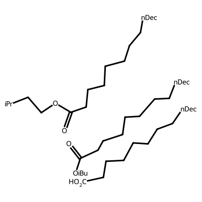 CCCCCCCCCCCCCCCCCC(=O)O.CCCCCCCCCCCCCCCCCC(=O)OCC(C)C.CCCCCCCCCCCCCCCCCC(=O)OCCC(C)C